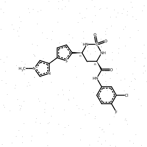 Cn1cnc(-c2ccc([C@@H]3C[C@H](C(=O)Nc4ccc(F)c(Cl)c4)NS(=O)(=O)N3)s2)c1